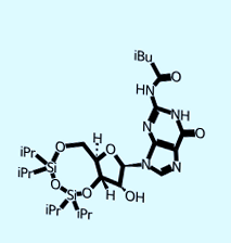 CCC(C)C(=O)Nc1nc2c(ncn2[C@@H]2O[C@@H]3CO[Si](C(C)C)(C(C)C)O[Si](C(C)C)(C(C)C)O[C@H]3[C@H]2O)c(=O)[nH]1